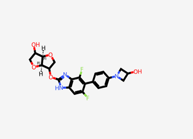 OC1CN(c2ccc(-c3c(F)cc4[nH]c(OC5CO[C@@H]6C(O)CO[C@H]56)nc4c3F)cc2)C1